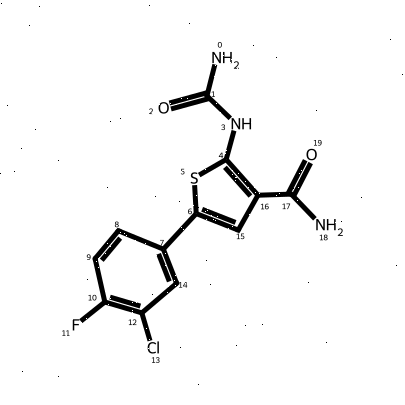 NC(=O)Nc1sc(-c2ccc(F)c(Cl)c2)cc1C(N)=O